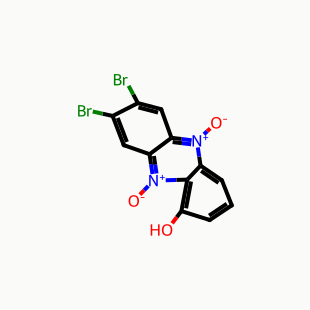 [O-][n+]1c2cc(Br)c(Br)cc2[n+]([O-])c2c(O)cccc21